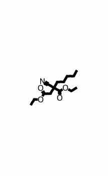 CCCCCC(C#N)(CC(=O)OCC)C(=O)OCC